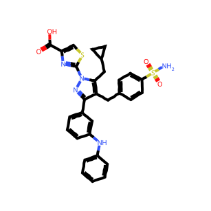 NS(=O)(=O)c1ccc(Cc2c(-c3cccc(Nc4ccccc4)c3)nn(-c3nc(C(=O)O)cs3)c2CC2CC2)cc1